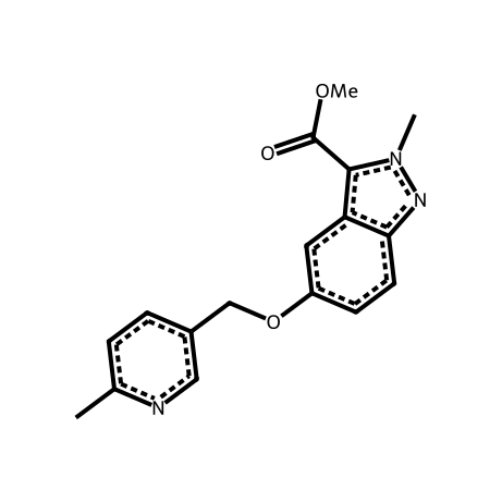 COC(=O)c1c2cc(OCc3ccc(C)nc3)ccc2nn1C